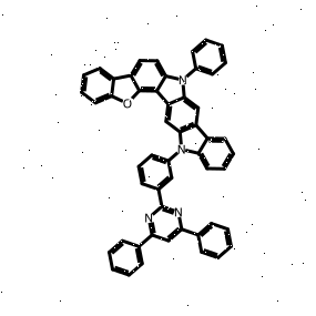 c1ccc(-c2cc(-c3ccccc3)nc(-c3cccc(-n4c5ccccc5c5cc6c(cc54)c4c5oc7ccccc7c5ccc4n6-c4ccccc4)c3)n2)cc1